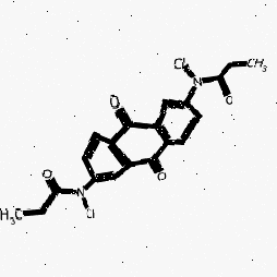 CCC(=O)N(Cl)c1ccc2c(c1)C(=O)c1ccc(N(Cl)C(=O)CC)cc1C2=O